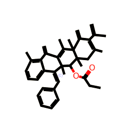 C=C(C)C1=C(C)CC2(C)C(OC(=O)CC)C3(C)C(=C(C)C2(C)C1=C)C(=C)c1c(C)cccc1/C3=C\c1ccccc1